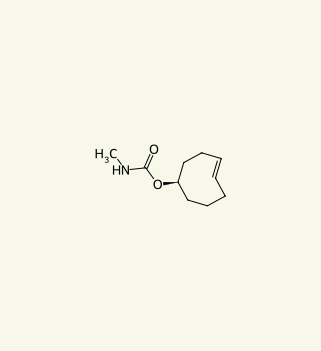 CNC(=O)O[C@H]1CC/C=C/CCC1